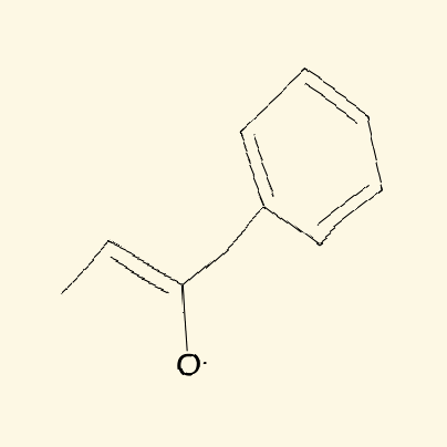 C/C=C(\[O])c1ccccc1